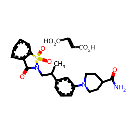 CC(CN1C(=O)c2ccccc2S1(=O)=O)c1cccc(N2CCC(C(N)=O)CC2)c1.O=C(O)C=CC(=O)O